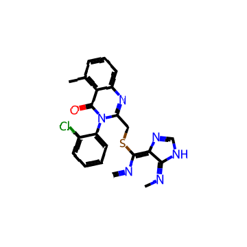 C=N/C(SCc1nc2cccc(C)c2c(=O)n1-c1ccccc1Cl)=C1/N=CN/C1=N/C